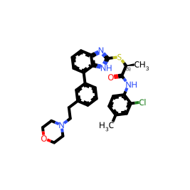 Cc1ccc(NC(=O)[C@H](C)Sc2nc3cccc(-c4cccc(CCN5CCOCC5)c4)c3[nH]2)c(Cl)c1